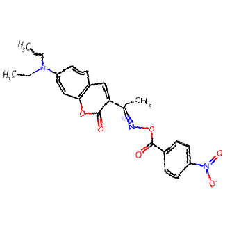 CCN(CC)c1ccc2cc(/C(C)=N/OC(=O)c3ccc([N+](=O)[O-])cc3)c(=O)oc2c1